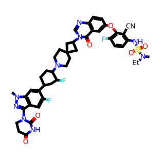 CCN(C)S(=O)(=O)Nc1ccc(F)c(Oc2ccc3ncn(C4CC5(CCN(C6CCC(c7cc8c(cc7F)c(N7CCC(=O)NC7=O)nn8C)CC6F)CC5)C4)c(=O)c3c2)c1C#N